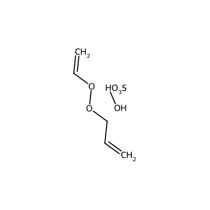 C=CCOOC=C.O=S(=O)(O)O